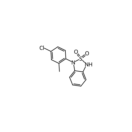 Cc1cc(Cl)ccc1N1c2ccccc2NS1(=O)=O